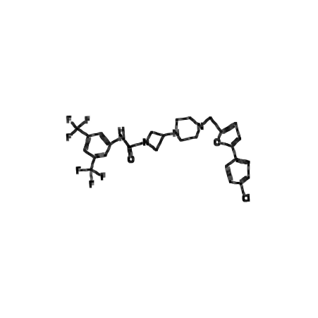 O=C(Nc1cc(C(F)(F)F)cc(C(F)(F)F)c1)N1CC(N2CCN(Cc3ccc(-c4ccc(Cl)cc4)o3)CC2)C1